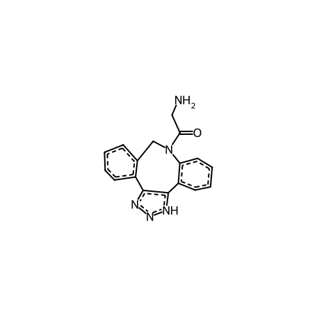 NCC(=O)N1Cc2ccccc2-c2nn[nH]c2-c2ccccc21